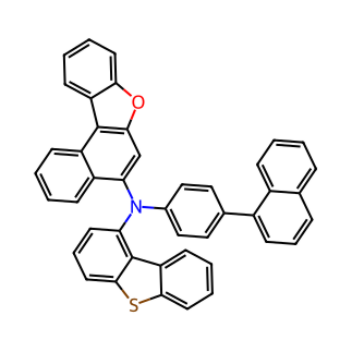 c1ccc2c(-c3ccc(N(c4cc5oc6ccccc6c5c5ccccc45)c4cccc5sc6ccccc6c45)cc3)cccc2c1